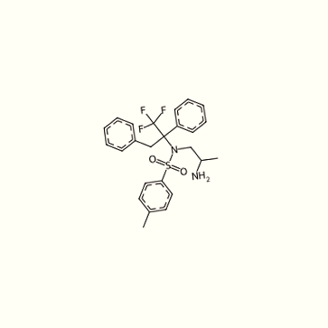 Cc1ccc(S(=O)(=O)N(CC(C)N)C(Cc2ccccc2)(c2ccccc2)C(F)(F)F)cc1